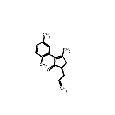 C=CCC1CC(N)=C(c2cc(C)ccc2C)C1=O